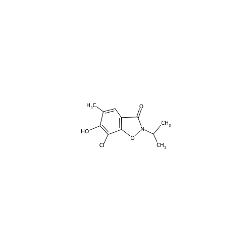 Cc1cc2c(=O)n(C(C)C)oc2c(Cl)c1O